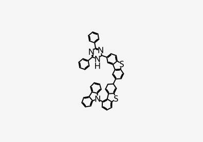 C1=c2sc3cccc(-n4c5ccccc5c5ccccc54)c3c2=CCC1c1ccc2sc3ccc(C4N=C(c5ccccc5)N=C(c5ccccc5)N4)cc3c2c1